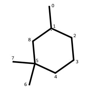 C[C]1CCCC(C)(C)C1